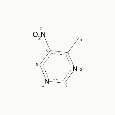 Cc1n[c]ncc1[N+](=O)[O-]